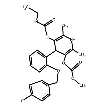 CCNC(=O)OC1=C(C)NC(C)=C(OC(=O)OC)C1c1ccccc1OCc1ccc(F)cc1